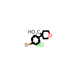 Cl.O=C(O)C1(c2ccc(Br)cc2)CCOCC1